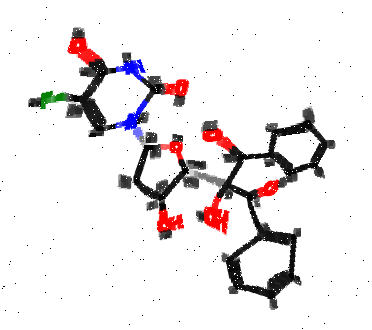 O=C(c1ccccc1)C(O)(C(=O)c1ccccc1)[C@H]1O[C@@H](n2cc(F)c(=O)[nH]c2=O)C[C@@H]1O